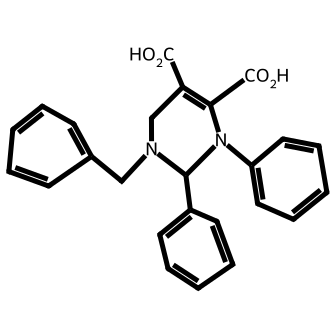 O=C(O)C1=C(C(=O)O)N(c2ccccc2)C(c2ccccc2)N(Cc2ccccc2)C1